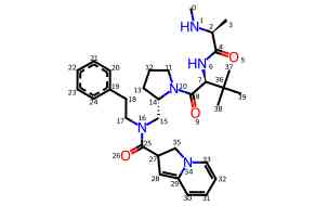 CN[C@@H](C)C(=O)N[C@H](C(=O)N1CCC[C@H]1CN(CCc1ccccc1)C(=O)C1C=C2C=CC=CN2C1)C(C)(C)C